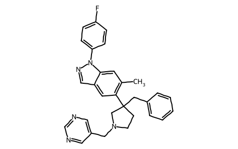 Cc1cc2c(cnn2-c2ccc(F)cc2)cc1C1(Cc2ccccc2)CCN(Cc2cncnc2)C1